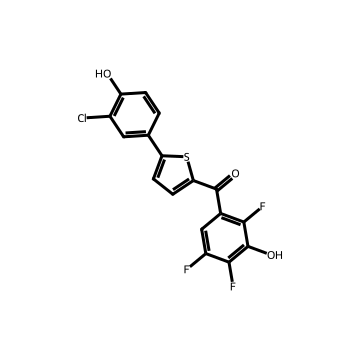 O=C(c1ccc(-c2ccc(O)c(Cl)c2)s1)c1cc(F)c(F)c(O)c1F